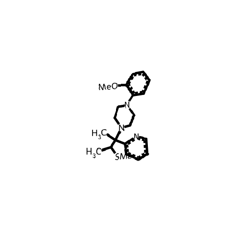 COc1ccccc1N1CCN(C(C)(c2ccccn2)C(C)SC)CC1